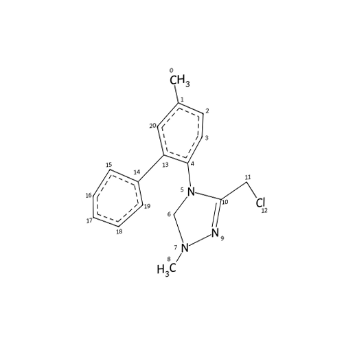 Cc1ccc(N2CN(C)N=C2CCl)c(-c2ccccc2)c1